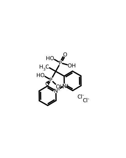 CC(c1cccc[n+]1-[n+]1ccccc1)(P(=O)(O)O)P(=O)(O)O.[Cl-].[Cl-]